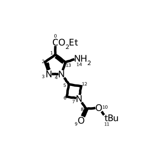 CCOC(=O)c1cnn(C2CN(C(=O)OC(C)(C)C)C2)c1N